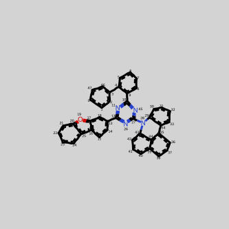 c1ccc(-c2ccccc2-c2nc(-c3ccc4c(c3)oc3ccccc34)nc(N3c4ccccc4-c4cccc5cccc3c45)n2)cc1